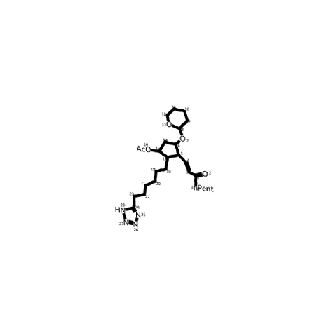 CCCCCC(=O)C=CC1C(OC2CCCCO2)CC(OC(C)=O)C1CCCCCCc1nnn[nH]1